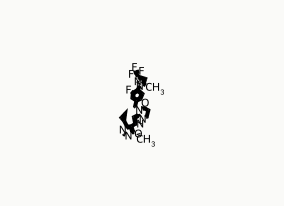 COc1ncnc(C2CC2)c1-c1cc2n(n1)CCC(=O)N2Cc1ccc(-n2nc(C(F)(F)F)cc2C)c(F)c1